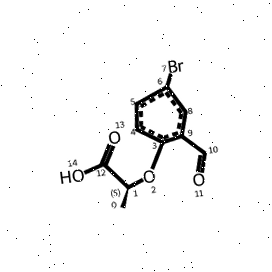 C[C@H](Oc1ccc(Br)cc1C=O)C(=O)O